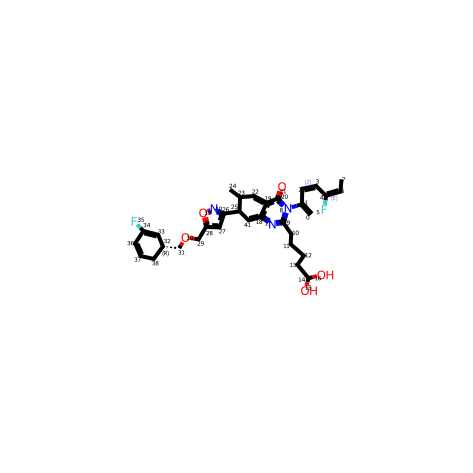 C=C(/C=C\C(F)=C/C)n1c(CCCCC(O)O)nc2c(c1=O)=CC(C)C(c1cc(COC[C@H]3C=C(F)C=CC3)on1)C=2